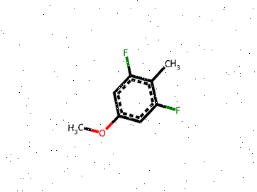 COc1cc(F)c(C)c(F)c1